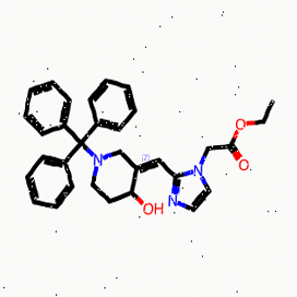 CCOC(=O)Cn1ccnc1/C=C1/CN(C(c2ccccc2)(c2ccccc2)c2ccccc2)CCC1O